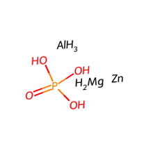 O=P(O)(O)O.[AlH3].[MgH2].[Zn]